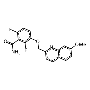 COc1ccc2ccc(COc3ccc(F)c(C(N)=O)c3F)nc2c1